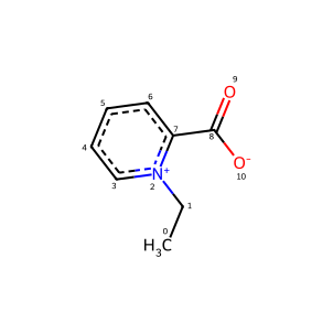 CC[n+]1ccccc1C(=O)[O-]